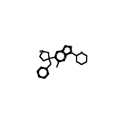 Cc1cc2c(cnn2C2CCCCO2)cc1C1(Cc2ccccc2)CCNC1